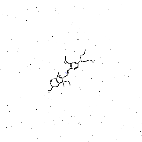 CCCN(CCC)c1ccc(/C=C/C2=[N+](C)c3ccc(Cl)cc3C2(C)CC)c(OC)c1